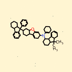 CC1(C)C2CC=CC=C2C2C(N(C3=CCCCC3)C3C=C4OC5CC(C6(c7ccccc7)c7ccccc7C7CCCCC76)CCC5C4=CC3)CCCC21